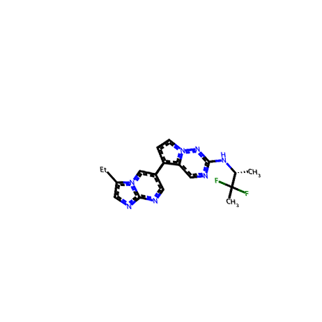 CCc1cnc2ncc(-c3ccn4nc(N[C@H](C)C(C)(F)F)ncc34)cn12